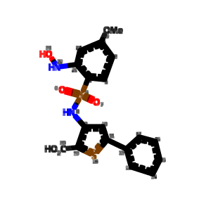 COc1ccc(S(=O)(=O)Nc2cc(-c3ccccc3)sc2C(=O)O)c(NO)c1